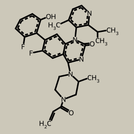 C=CC(=O)N1CCN(c2nc(=O)n(-c3c(C)ccnc3C(C)C)c3cc(-c4c(O)cccc4F)c(F)cc23)C(C)C1